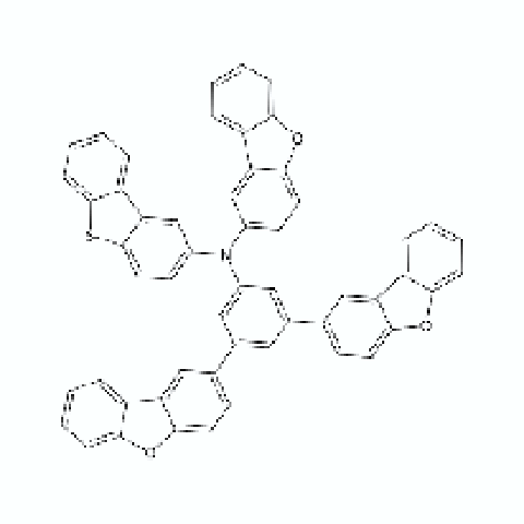 c1ccc2c(c1)oc1ccc(-c3cc(-c4ccc5oc6ccccc6c5c4)cc(N(c4ccc5oc6ccccc6c5c4)c4ccc5sc6ccccc6c5c4)c3)cc12